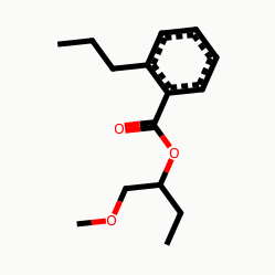 CCCc1ccccc1C(=O)OC(CC)COC